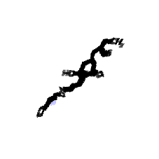 CCC(C=S)CC1CC(=O)C(CCC=NOC/C=C/Cl)=C(O)C1